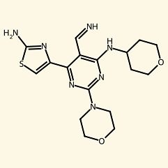 N=Cc1c(NC2CCOCC2)nc(N2CCOCC2)nc1-c1csc(N)n1